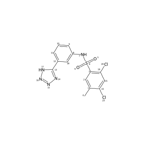 Cc1cc(S(=O)(=O)Nc2cccc(-c3nnn[nH]3)c2)c(Cl)cc1Cl